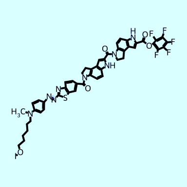 CN(CCCCCCOI)c1ccc(/N=N/c2nc3ccc(C(=O)N4CCc5c4ccc4[nH]c(C(=O)N6CCc7c6ccc6[nH]c(C(=O)Oc8c(F)c(F)c(F)c(F)c8F)cc76)cc54)cc3s2)cc1